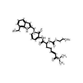 CC(=O)OCCOC(=O)NC(CC/C=C/C(=O)N(C)C)C(=O)Nc1cccn(Cc2cc3cccc(CC(C)C)c3[nH]2)c1=O